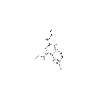 CCNc1cc(NCC)c2c[n+]([O-])ccc2c1